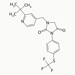 CC(C)(C)c1cc(CN2CC(=O)N(c3ccc(SC(F)(F)F)cc3)C2=O)ccn1